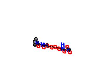 O=C(CCOCCOCCOCCOCCNC(=O)CCN1C(=O)C=CC1=O)NCCC(=O)N1Cc2ccccc2C#Cc2ccccc21